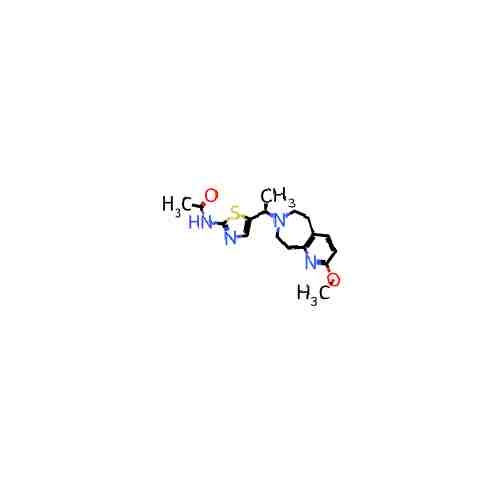 COc1ccc2c(n1)CCN([C@H](C)c1cnc(NC(C)=O)s1)CC2